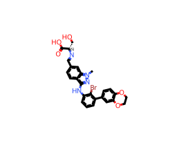 Cn1nc(Nc2cccc(-c3ccc4c(c3)OCCO4)c2Br)c2ccc(C=N[C@@H](CO)C(=O)O)cc21